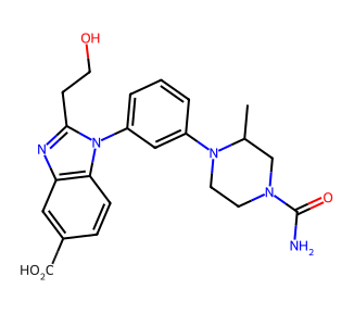 CC1CN(C(N)=O)CCN1c1cccc(-n2c(CCO)nc3cc(C(=O)O)ccc32)c1